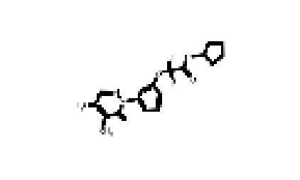 Cc1c(C(F)(F)F)cnn(-c2cccc(OC(F)(Cl)C(=O)OC3CCCC3)c2)c1=O